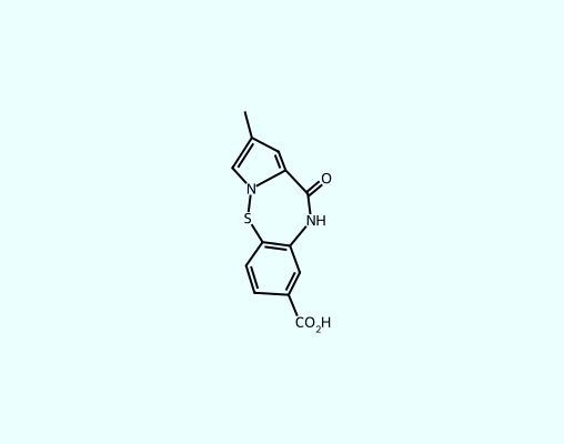 Cc1cc2n(c1)Sc1ccc(C(=O)O)cc1NC2=O